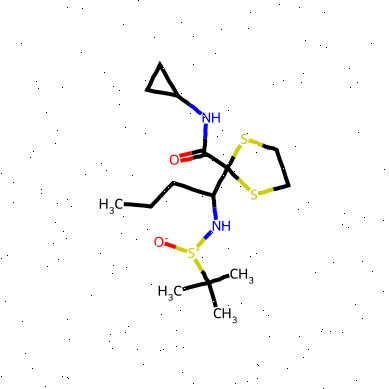 CCCC(N[S+]([O-])C(C)(C)C)C1(C(=O)NC2CC2)SCCS1